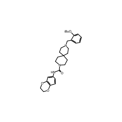 CC(C)COc1ccccc1CN1CCC2(CC1)CCN(C(=O)Nc1ccc3c(c1)OCCO3)CC2